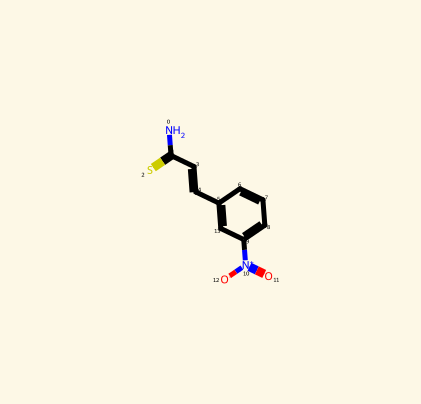 NC(=S)C=Cc1cccc([N+](=O)[O-])c1